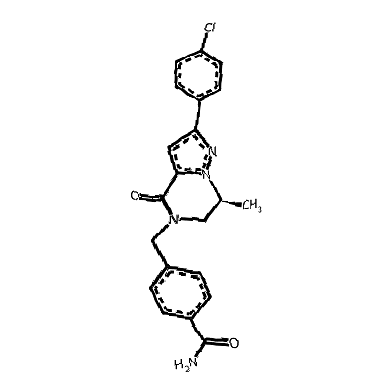 C[C@H]1CN(Cc2ccc(C(N)=O)cc2)C(=O)c2cc(-c3ccc(Cl)cc3)nn21